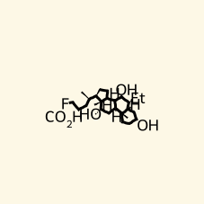 CC[C@H]1[C@@H](O)[C@@H]2[C@H](C[C@H](O)[C@]3(C)[C@@H]([C@H](C)C[C@@H](CF)C(=O)O)CC[C@@H]23)[C@@]2(C)CC[C@@H](O)C[C@@H]12